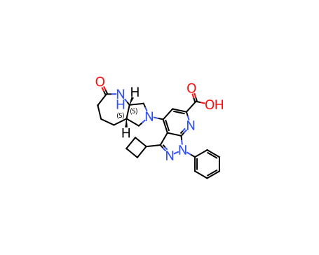 O=C1CCC[C@H]2CN(c3cc(C(=O)O)nc4c3c(C3CCC3)nn4-c3ccccc3)C[C@H]2N1